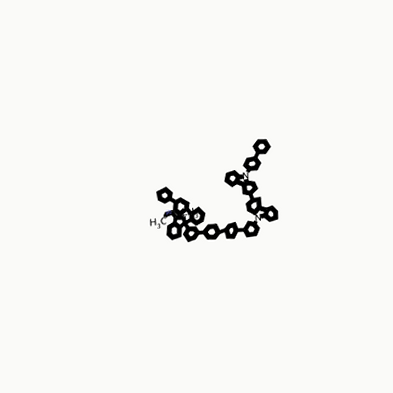 C/C=C\C1=C(C)C(c2cccc(-c3ccc(-c4ccc(-c5cccc(-n6c7ccccc7c7cc(-c8ccc9c(c8)c8ccccc8n9-c8ccc(-c9ccccc9)cc8)ccc76)c5)cc4)cc3)c2)(c2ccccc2-c2ccc(-c3ccccc3)cc2)c2ccccc21